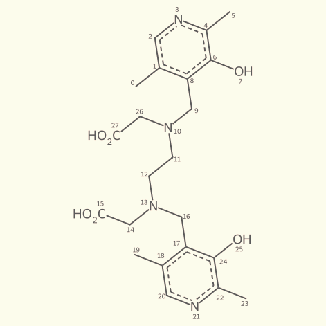 Cc1cnc(C)c(O)c1CN(CCN(CC(=O)O)Cc1c(C)cnc(C)c1O)CC(=O)O